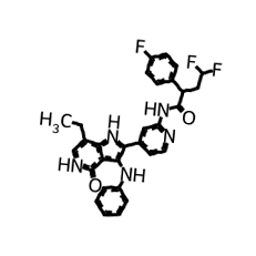 CCc1c[nH]c(=O)c2c(Nc3ccccc3)c(-c3ccnc(NC(=O)C(CC(F)F)c4ccc(F)cc4)c3)[nH]c12